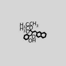 CC(C)(C)OC(=O)/C(=C/c1ccc2ccccc2c1)C(=O)c1ccccc1O